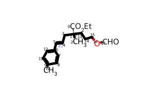 CCOC(=O)[C@](C)(C/C=C/c1ccc(C)cc1)CCCOC=O